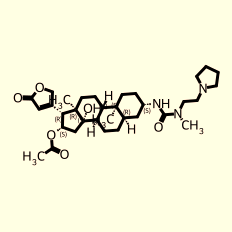 CC(=O)O[C@H]1C[C@]2(O)[C@@H]3CC[C@@H]4C[C@@H](NC(=O)N(C)CCN5CCCC5)CC[C@]4(C)[C@H]3CC[C@]2(C)[C@H]1C1=CC(=O)OC1